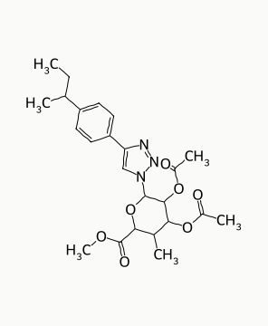 CCC(C)c1ccc(-c2cn(C3OC(C(=O)OC)C(C)C(OC(C)=O)C3OC(C)=O)nn2)cc1